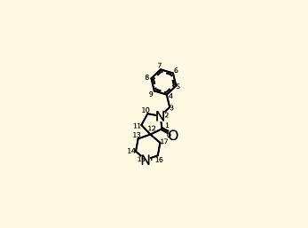 O=C1N(Cc2ccccc2)CCC12CC[N]CC2